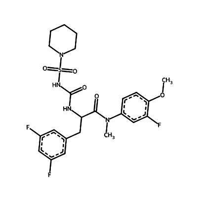 COc1ccc(N(C)C(=O)C(Cc2cc(F)cc(F)c2)NC(=O)NS(=O)(=O)N2CCCCC2)cc1F